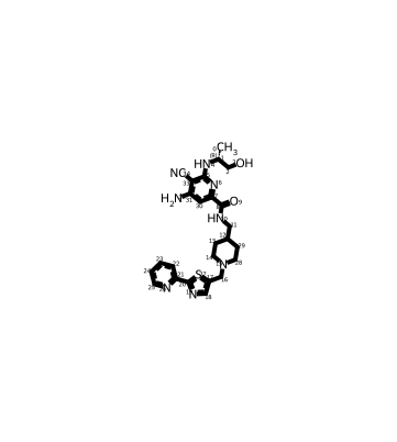 C[C@H](CO)Nc1nc(C(=O)NCC2CCN(Cc3cnc(-c4ccccn4)s3)CC2)cc(N)c1C#N